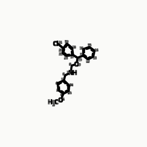 COc1ccc(CNCOC(c2ccccc2)c2ccc(Cl)cc2)cc1